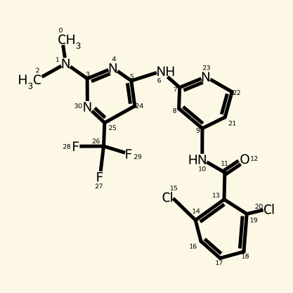 CN(C)c1nc(Nc2cc(NC(=O)c3c(Cl)cccc3Cl)ccn2)cc(C(F)(F)F)n1